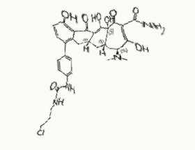 CN(C)[C@@H]1C(O)=C(C(N)=O)C(=O)[C@@]2(O)C(O)=C3C(=O)c4c(O)ccc(-c5ccc(NC(=O)NCCCCl)cc5)c4C[C@H]3C[C@@H]12